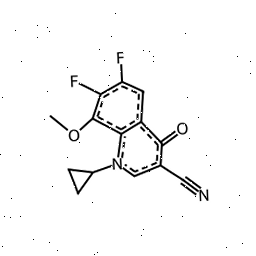 COc1c(F)c(F)cc2c(=O)c(C#N)cn(C3CC3)c12